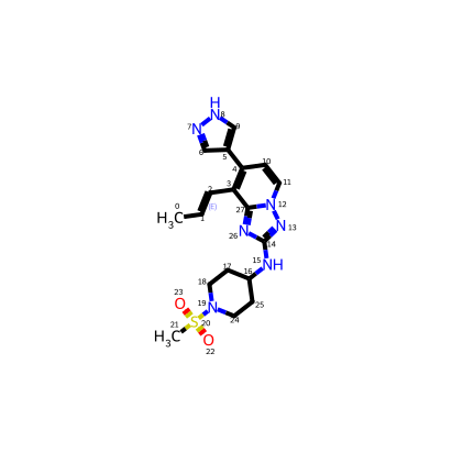 C/C=C/c1c(-c2cn[nH]c2)ccn2nc(NC3CCN(S(C)(=O)=O)CC3)nc12